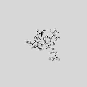 CC[C@@H](C)[C@@H](NC)C(=O)N(C)[C@@H](C(=O)CC(CC(C)O)(OC(=O)[C@@H](C)NC)C(=O)O)[C@H](C)CCCC(C)O